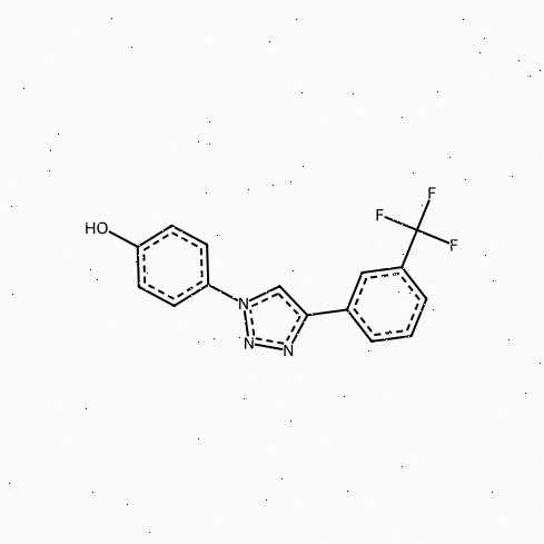 Oc1ccc(-n2cc(-c3cccc(C(F)(F)F)c3)nn2)cc1